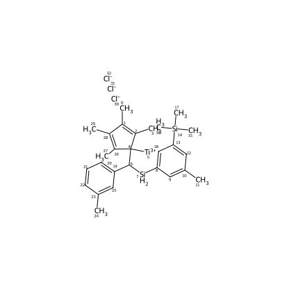 CC1=C(C)[C]([Ti+3])(C([SiH2]c2cc(C)cc([Si](C)(C)C)c2)c2cccc(C)c2)C(C)=C1C.[Cl-].[Cl-].[Cl-]